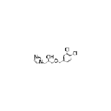 OC(COCc1ccc(Cl)c(Cl)c1)Cn1ccnc1